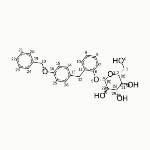 OC[C@H]1O[C@@H](Oc2ccccc2Cc2ccc(OCc3ccccc3)cc2)[C@H](O)[C@@H](O)[C@@H]1O